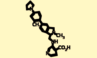 Cc1cc(N2CCCC2)ccc1-c1ccc2c(c1)CN(C)C2CNc1cnccc1C(=O)O